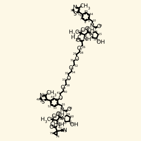 Cc1ncsc1-c1ccc(CNC(=O)[C@@H]2C[C@@H](O)CN2C(=O)C(NC(=O)COCCOCCOCCOCCOCCOc2cc(-c3scnc3C)ccc2CNC(=O)[C@@H]2C[C@@H](O)CN2C(=O)C(NC(=O)C2(C#N)CC2)C(C)(C)C)C(C)(C)C)cc1